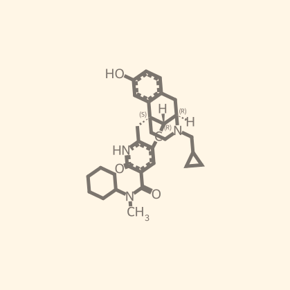 CN(C(=O)c1cc2c([nH]c1=O)C[C@]13CCN(CC4CC4)[C@H](Cc4ccc(O)cc41)[C@@H]3C2)C1CCCCC1